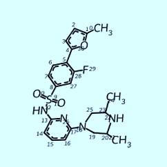 Cc1ccc(-c2ccc(S(=O)(=O)Nc3cccc(N4CC(C)NC(C)C4)n3)cc2F)o1